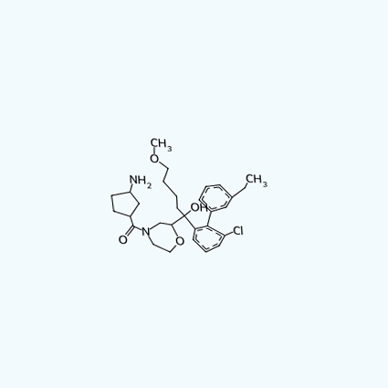 CCc1cccc(-c2c(Cl)cccc2C(O)(CCCCOC)C2CN(C(=O)C3CCC(N)C3)CCO2)c1